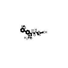 C#Cc1nc(NC(=O)NC(CS(C)(=O)=O)c2ccc(-c3cccc4ncsc34)cc2)cs1